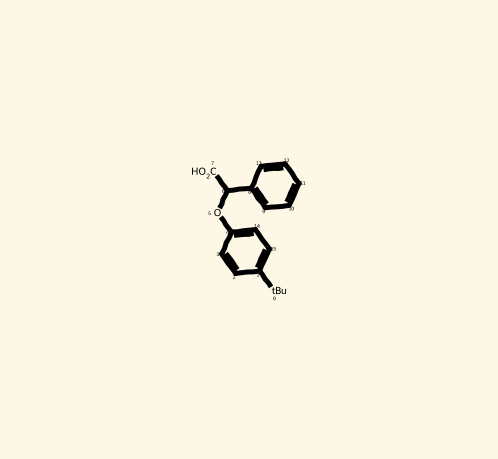 CC(C)(C)c1ccc(OC(C(=O)O)c2ccccc2)cc1